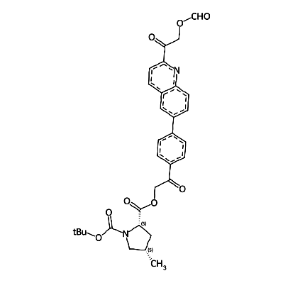 C[C@H]1C[C@@H](C(=O)OCC(=O)c2ccc(-c3ccc4nc(C(=O)COC=O)ccc4c3)cc2)N(C(=O)OC(C)(C)C)C1